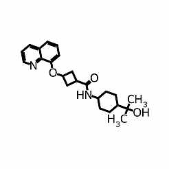 CC(C)(O)C1CCC(NC(=O)C2CC(Oc3cccc4cccnc34)C2)CC1